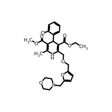 CCOC(=O)C1=C(COCc2ccc(CN3CCOCC3)o2)NC(C)=C(C(=O)OC)C1c1ccccc1Cl